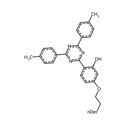 CCCCCCCCCCCCOc1ccc(-c2nc(-c3ccc(C)cc3)nc(-c3ccc(C)cc3)n2)c(O)c1